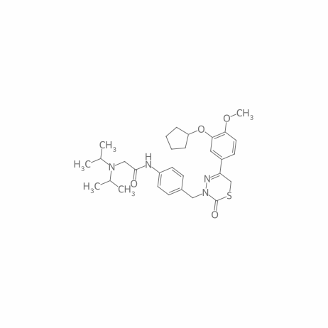 COc1ccc(C2=NN(Cc3ccc(NC(=O)CN(C(C)C)C(C)C)cc3)C(=O)SC2)cc1OC1CCCC1